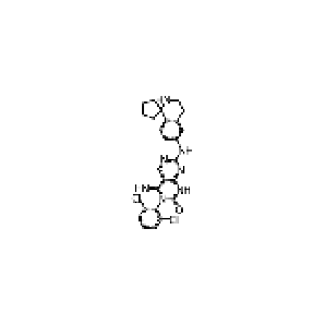 N=c1c2cnc(Nc3ccc4c(c3)CCNC43CCCC3)nc2[nH]c(=O)n1-c1c(Cl)cccc1Cl